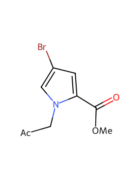 COC(=O)c1cc(Br)cn1CC(C)=O